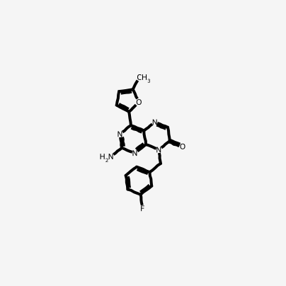 Cc1ccc(-c2nc(N)nc3c2ncc(=O)n3Cc2cccc(F)c2)o1